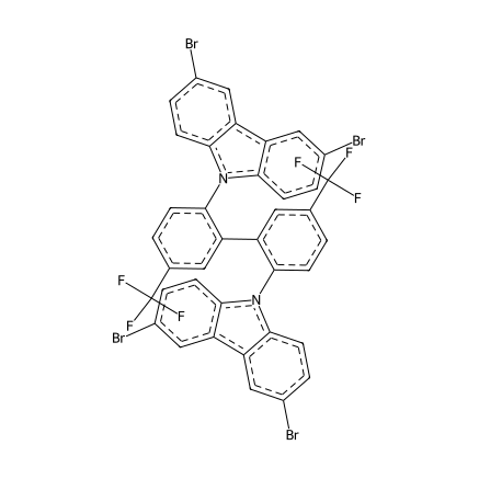 FC(F)(F)c1ccc(-n2c3ccc(Br)cc3c3cc(Br)ccc32)c(-c2cc(C(F)(F)F)ccc2-n2c3ccc(Br)cc3c3cc(Br)ccc32)c1